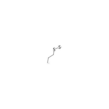 [CH2]CCS[S]